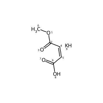 COC(=O)/C=C\C(=O)O.[KH]